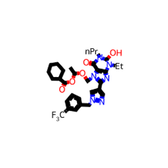 CCCN1C(=O)c2c(nc(-c3cnn(Cc4cccc(C(F)(F)F)c4)c3)n2COC(C)OC(=O)C2CCCCC2)N(CC)C1O